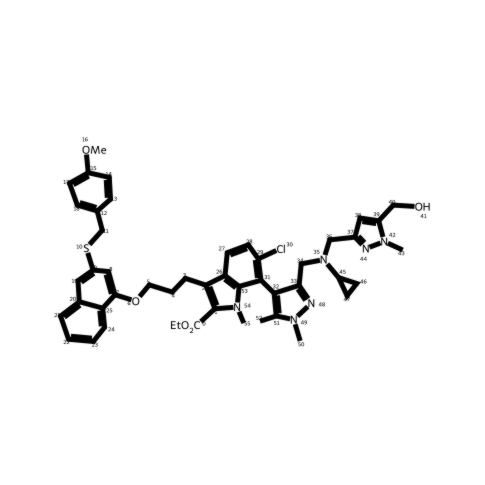 CCOC(=O)c1c(CCCOc2cc(SCc3ccc(OC)cc3)cc3ccccc23)c2ccc(Cl)c(-c3c(CN(Cc4cc(CO)n(C)n4)C4CC4)nn(C)c3C)c2n1C